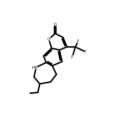 CCC1CCc2cc3c(C(F)(F)F)cc(=O)oc3cc2NC1